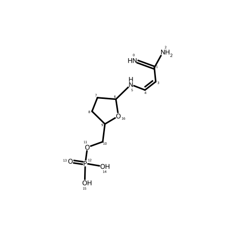 N=C(N)/C=C\NC1CCC(COP(=O)(O)O)O1